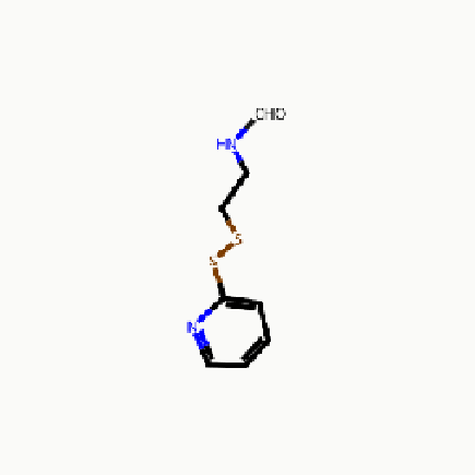 O=CNCCSSc1ccccn1